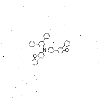 c1ccc(-c2cc(-c3ccccc3)cc(N(c3ccc(-c4ccc5oc6ccccc6c5c4)cc3)c3ccc4c(c3)oc3ccccc34)c2)cc1